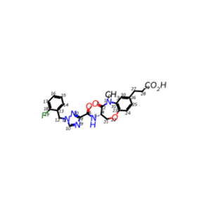 CN1C(=O)[C@@H](NC(=O)c2ncn(Cc3ccccc3F)n2)COc2ccc(CCC(=O)O)cc21